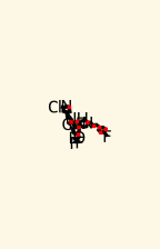 O=C(NCc1ccnc(Cl)c1)N1CC2(CCN(C/C=C/c3ccc(F)cc3)CC2)c2cc(OC(F)(F)F)ccc21